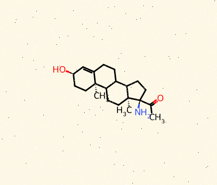 CC(=O)[C@@]1(N)CCC2C3CCC4=C[C@H](O)CC[C@]4(C)C3CC[C@@]21C